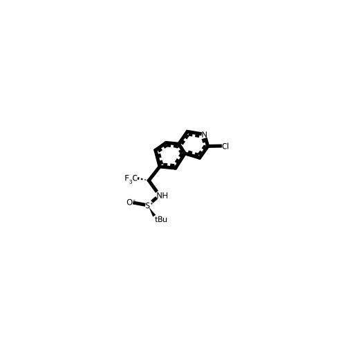 CC(C)(C)[S@@+]([O-])N[C@@H](c1ccc2cnc(Cl)cc2c1)C(F)(F)F